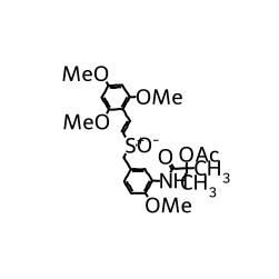 COc1cc(OC)c(/C=C/[S+]([O-])Cc2ccc(OC)c(NC(=O)C(C)(C)OC(C)=O)c2)c(OC)c1